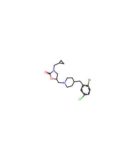 O=C1OC(CN2CCC(Cc3cc(Cl)ccc3Br)CC2)CN1CC1CC1